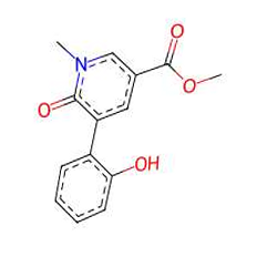 COC(=O)c1cc(-c2ccccc2O)c(=O)n(C)c1